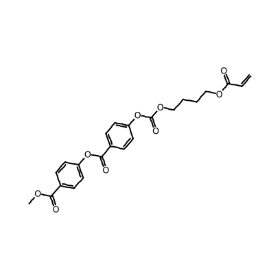 C=CC(=O)OCCCCOC(=O)Oc1ccc(C(=O)Oc2ccc(C(=O)OC)cc2)cc1